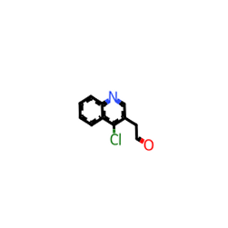 O=CCc1cnc2ccccc2c1Cl